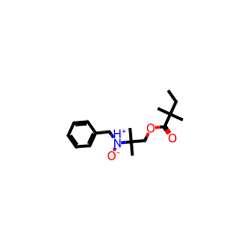 CCC(C)(C)C(=O)OCC(C)(C)[NH+]([O-])Cc1ccccc1